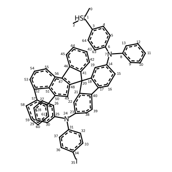 C[SiH](C)c1ccc(N(c2ccccc2)c2ccc3c(c2)C2(c4cc(N(c5ccccc5)c5ccc(I)cc5)ccc4-3)c3ccccc3-c3c2cc2c4c(cccc34)-c3ccccc3-2)cc1